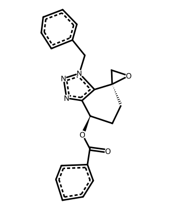 O=C(O[C@@H]1CC[C@@]2(CO2)c2c1nnn2Cc1ccccc1)c1ccccc1